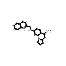 O=C(O)/C(=C/c1ccco1)c1ccc(OCc2ccc3ccccc3n2)cc1